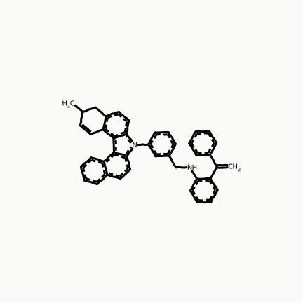 C=C(c1ccccc1)c1ccccc1NCc1cccc(-n2c3ccc4c(c3c3c5ccccc5ccc32)C=CC(C)C4)c1